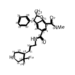 CNC(=O)c1cc(C(=O)NCCC[C@@H]2CCNCC2(F)F)cc2c1O[C@H](C)[C@H]2c1ccccc1